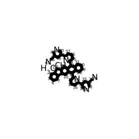 CC1(C)c2ccccc2-c2cc3c(-c4cccc(-c5cncc(C#N)c5)n4)c4ccccc4c(-c4cccc(-c5cncc(C#N)c5)n4)c3cc21